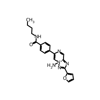 CCCCNC(=O)c1ccc(C2=C[N+]3(N)N=C(c4ccco4)N=C3C=N2)cc1